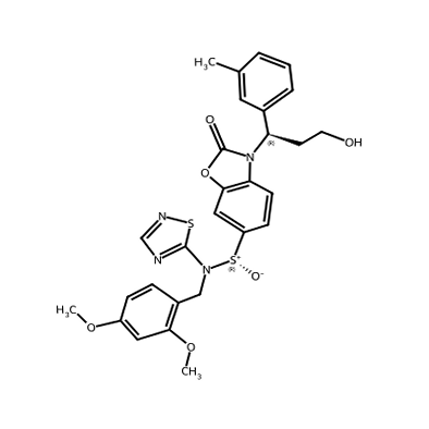 COc1ccc(CN(c2ncns2)[S@@+]([O-])c2ccc3c(c2)oc(=O)n3[C@H](CCO)c2cccc(C)c2)c(OC)c1